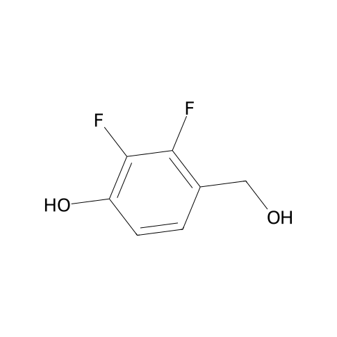 OCc1ccc(O)c(F)c1F